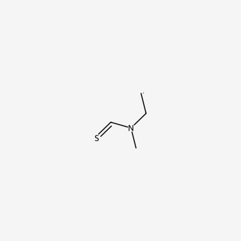 [CH2]CN(C)C=S